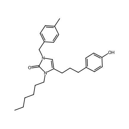 CCCCCCn1c(CCCc2ccc(O)cc2)cn(Cc2ccc(C)cc2)c1=O